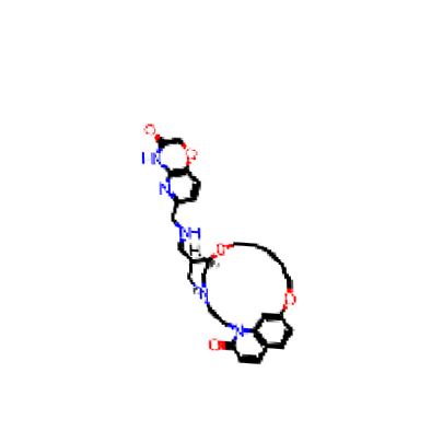 O=C1COc2ccc(CNCC3C[N@]4CCn5c(=O)ccc6ccc(cc65)OCCCCCO[C@H]3C4)nc2N1